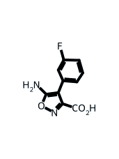 Nc1onc(C(=O)O)c1-c1cccc(F)c1